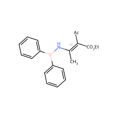 CCOC(=O)/C(C(C)=O)=C(\C)NB(c1ccccc1)c1ccccc1